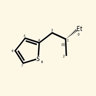 CC[C@H](C)Cc1cccs1